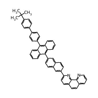 CC(C)(C)c1ccc(-c2ccc(-c3c4ccccc4c(-c4ccc5cc(-c6ccc7ccc8cccnc8c7n6)ccc5c4)c4ccccc34)cc2)cc1